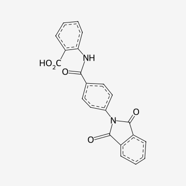 O=C(Nc1ccccc1C(=O)O)c1ccc(N2C(=O)c3ccccc3C2=O)cc1